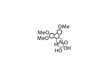 COc1ccc2c3c(c4cc(OC)c(OC)cc4c2c1)C[C@H]1CC(O)C(O)C(=O)N1C3